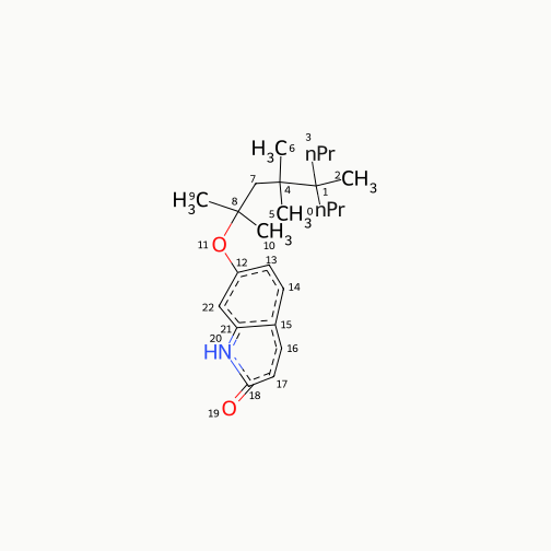 CCCC(C)(CCC)C(C)(C)CC(C)(C)Oc1ccc2ccc(=O)[nH]c2c1